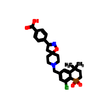 CC1(C)CCS(=O)(=O)c2c(Cl)cc(CN3CCC4(CC3)CC(c3ccc(C(=O)O)cc3)=NO4)cc21